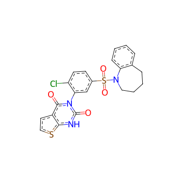 O=c1[nH]c2sccc2c(=O)n1-c1cc(S(=O)(=O)N2CCCCc3ccccc32)ccc1Cl